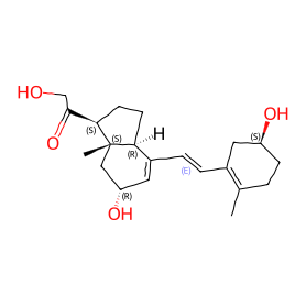 CC1=C(/C=C/C2=C[C@H](O)C[C@]3(C)[C@@H](C(=O)CO)CC[C@@H]23)C[C@@H](O)CC1